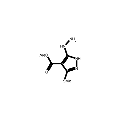 COC(=O)c1c(SC)n[nH]c1NN